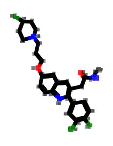 CC(C)NC(=O)Cc1cc2cc(OCCCN3CCC(F)CC3)ccc2nc1-c1ccc(F)c(Cl)c1